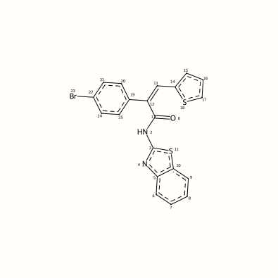 O=C(Nc1nc2ccccc2s1)/C(=C\c1cccs1)c1ccc(Br)cc1